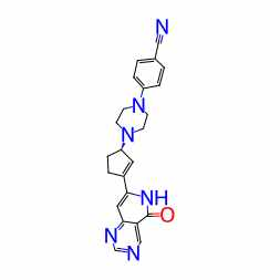 N#Cc1ccc(N2CCN([C@H]3C=C(c4cc5ncncc5c(=O)[nH]4)CC3)CC2)cc1